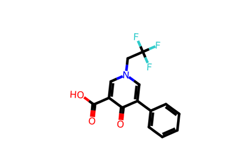 O=C(O)c1cn(CC(F)(F)F)cc(-c2ccccc2)c1=O